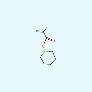 C=C(C)C(=O)O[SH]1CCCCC1